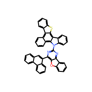 c1ccc2c(c1)cc(-c1nc(-n3c4ccccc4c4c5sc6ccccc6c5c5ccccc5c43)nc3c1oc1ccccc13)c1ccccc12